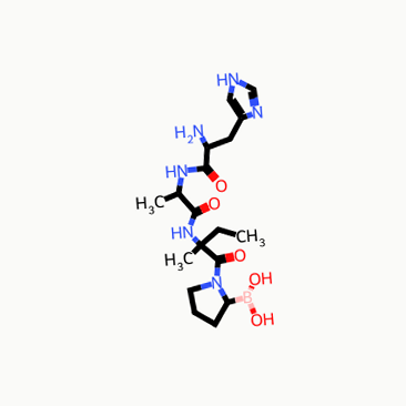 CCC(C)(NC(=O)C(C)NC(=O)C(N)Cc1c[nH]cn1)C(=O)N1CCCC1B(O)O